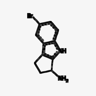 NC1CCc2c1[nH]c1ccc(Br)cc21